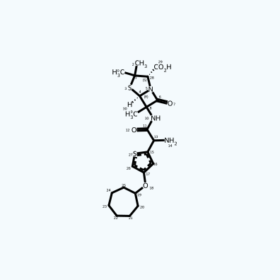 CC1(C)S[C@H]2N(C(=O)C2(C)NC(=O)C(N)c2cc(OC3CCCCCC3)cs2)[C@H]1C(=O)O